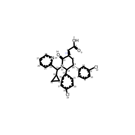 O=C(O)/C=C1\C[C@H](c2cccc(Cl)c2)C(c2ccc(Cl)cc2)N(C(c2ccccn2)C2CC2)C1=O